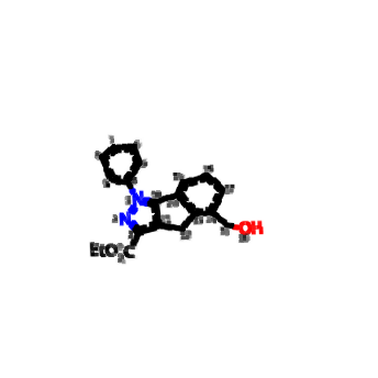 CCOC(=O)c1nn(-c2ccccc2)c2c1Cc1c(CO)cccc1-2